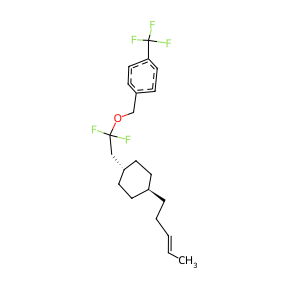 CC=CCC[C@H]1CC[C@H](CC(F)(F)OCc2ccc(C(F)(F)F)cc2)CC1